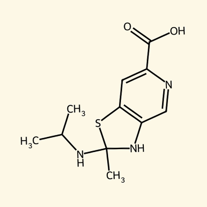 CC(C)NC1(C)Nc2cnc(C(=O)O)cc2S1